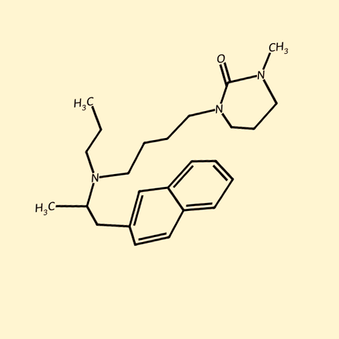 CCCN(CCCCN1CCCN(C)C1=O)C(C)Cc1ccc2ccccc2c1